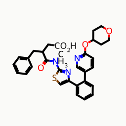 CN(C(=O)C(CC(=O)O)Cc1ccccc1)c1nc(-c2ccccc2-c2ccc(OC3CCOCC3)nc2)cs1